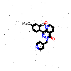 COC1=CC(=C=O)C(c2nn(Cc3ccncc3)c(=O)c3cccnc23)C=C1